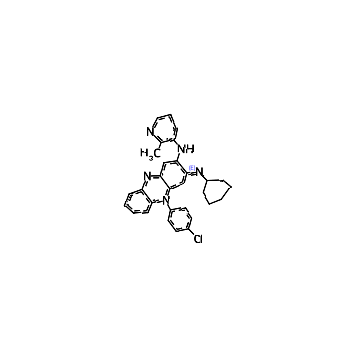 Cc1ncccc1Nc1cc2nc3ccccc3n(-c3ccc(Cl)cc3)c-2c/c1=N\C1CCCCC1